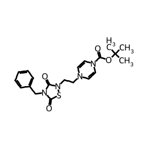 CC(C)(C)OC(=O)N1C=CN(CCn2sc(=O)n(Cc3ccccc3)c2=O)C=C1